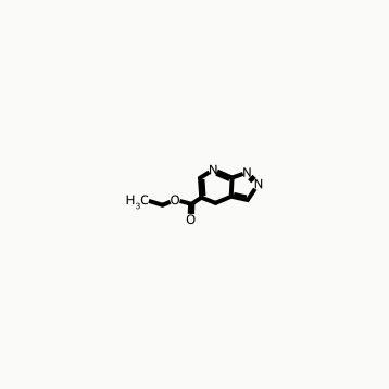 CCOC(=O)C1=CN=C2N=NC=C2C1